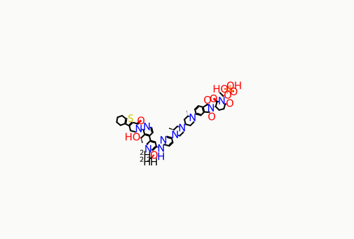 [2H]C([2H])([2H])Oc1ncc(-c2ccnc(N3CCc4c(sc5c4CCCC5)C3=O)c2[C@@H](C)O)cc1Nc1ccc(N2CCN(C3CCN(c4ccc5c(c4)C(=O)N([C@H]4CCC(=O)N(C(C)OP(=O)(O)O)C4=O)C5=O)[C@@H](C)C3)C[C@@H]2C)cn1